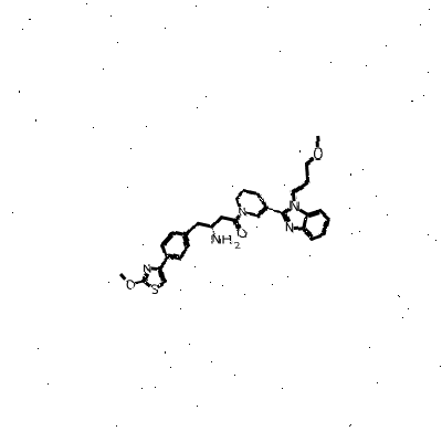 COCCCn1c([C@@H]2CCCN(C(=O)C[C@H](N)Cc3ccc(-c4csc(OC)n4)cc3)C2)nc2ccccc21